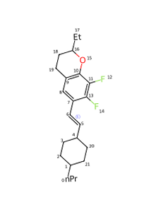 CCCC1CCC(/C=C/c2cc3c(c(F)c2F)OC(CC)CC3)CC1